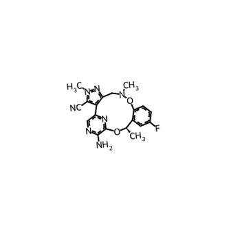 C[C@H]1Oc2nc(cnc2N)-c2c(nn(C)c2C#N)CN(C)Oc2ccc(F)cc21